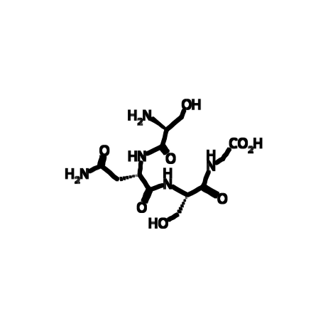 NC(=O)C[C@H](NC(=O)[C@@H](N)CO)C(=O)N[C@@H](CO)C(=O)NCC(=O)O